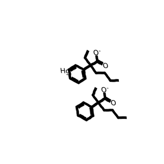 CCCCC(CC)(C(=O)[O-])c1ccccc1.CCCCC(CC)(C(=O)[O-])c1ccccc1.[Hg+2]